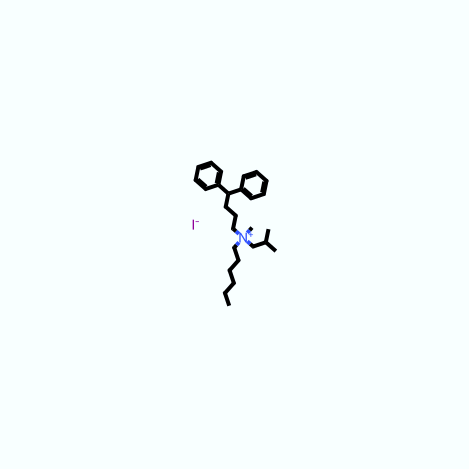 CCCCCC[N+](C)(CCCC(c1ccccc1)c1ccccc1)CC(C)C.[I-]